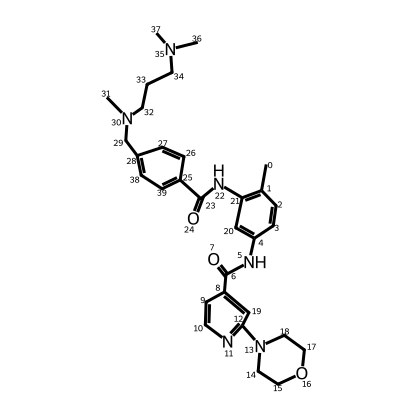 Cc1ccc(NC(=O)c2ccnc(N3CCOCC3)c2)cc1NC(=O)c1ccc(CN(C)CCCN(C)C)cc1